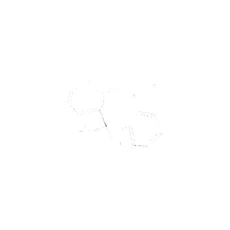 CC1Oc2ccccc2C(C)(C)c2ccccc21